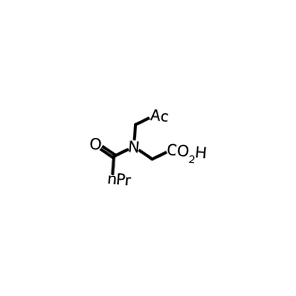 CCCC(=O)N(CC(C)=O)CC(=O)O